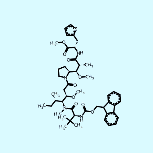 CC[C@H](C)[C@@H]([C@@H](CC(=O)N1CCC[C@H]1[C@H](OC)[C@@H](C)C(=O)N[C@@H](Cc1cccs1)C(=O)OC)OC)N(C)C(=O)[C@@H](NC(=O)OCC1c2ccccc2-c2ccccc21)C(C)(C)C